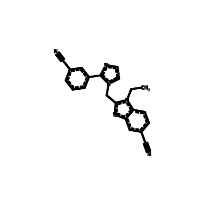 CCn1c(Cn2ccnc2-c2cccc(C#N)c2)nc2cc(C#N)ccc21